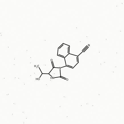 CC(O)C1NC(=O)N(c2ccc(C#N)c3ccccc23)C1=O